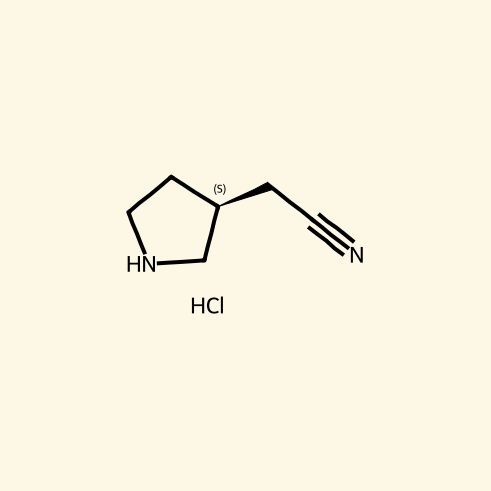 Cl.N#CC[C@@H]1CCNC1